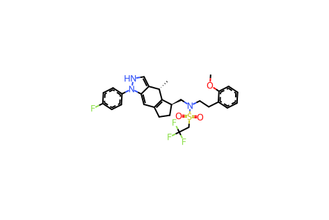 COc1ccccc1CCN(C[C@H]1CCC2=C1[C@@H](C)C1=CNN(c3ccc(F)cc3)C1=C2)S(=O)(=O)CC(F)(F)F